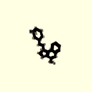 Nc1nc2ccccc2c2c1ncn2CCC1CCCNC1